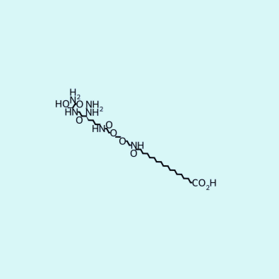 NCN[C@@H](CCCCNC(=O)COCCOCCNC(=O)CCCCCCCCCCCCCCCCC(=O)O)C(=O)CN[C@@H](CO)C(N)=O